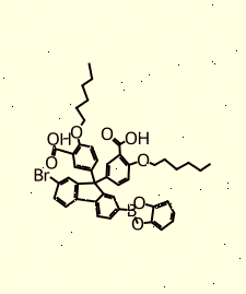 CCCCCCOc1ccc(C2(c3ccc(OCCCCCC)c(C(=O)O)c3)c3cc(Br)ccc3-c3ccc(B4Oc5ccccc5O4)cc32)cc1C(=O)O